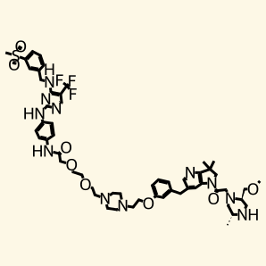 COC[C@H]1CN[C@H](C)CN1CC(=O)N1CC(C)(C)c2ncc(Cc3cccc(OCCN4CCN(CCOCCOCC(=O)Nc5ccc(Nc6ncc(C(F)(F)F)c(NCc7cccc(S(C)(=O)=O)c7)n6)cc5)CC4)c3)cc21